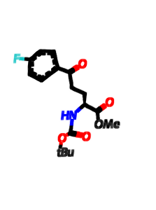 COC(=O)[C@H](CCC(=O)c1ccc(F)cc1)NC(=O)OC(C)(C)C